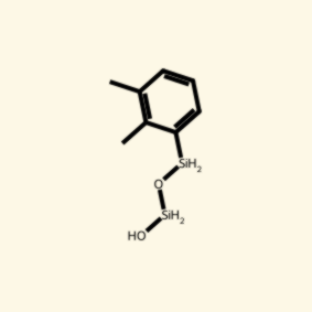 Cc1cccc([SiH2]O[SiH2]O)c1C